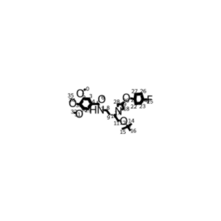 COc1cc(C(=O)NCC[C@@H](COC(C)(C)C)N2CC(Oc3ccc(F)cc3)C2)cc(OC)c1OC